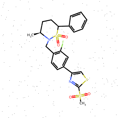 C[C@H]1CCC(c2ccccc2)S(=O)(=O)N1Cc1ccc(-c2csc(S(C)(=O)=O)n2)cc1F